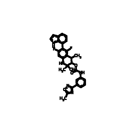 Cc1nc(-c2cccc(NC(=O)OC3C(C)c4c(cc(F)c(-c5cccc6cc[nH]c56)c4F)NC3(C)C)c2)no1